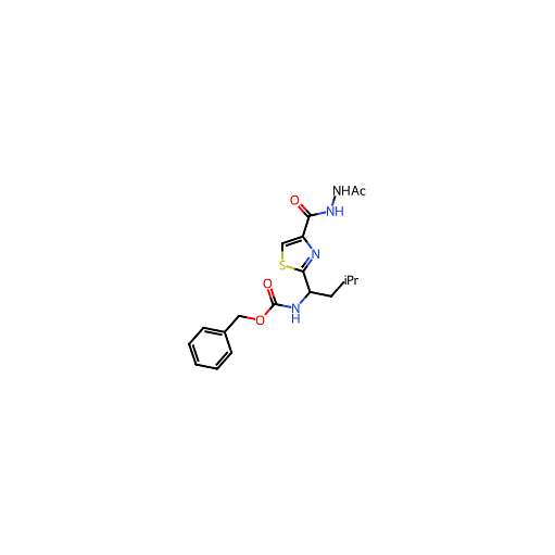 CC(=O)NNC(=O)c1csc(C(CC(C)C)NC(=O)OCc2ccccc2)n1